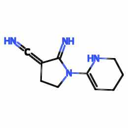 N=C=C1CCN(C2=CCCCN2)C1=N